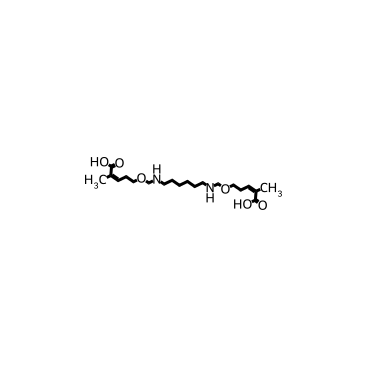 CC(=CCCOCNCCCCCCNCOCCC=C(C)C(=O)O)C(=O)O